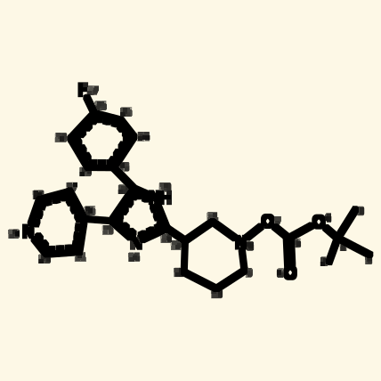 CC(C)(C)OC(=O)ON1CCCC(c2nc(-c3ccncc3)c(-c3ccc(F)cc3)[nH]2)C1